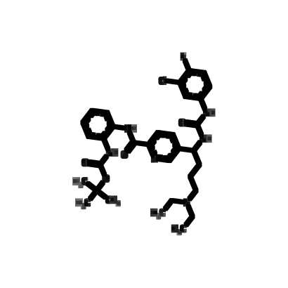 CCN(CC)CCCC(NC(=O)Nc1ccc(F)c(Cl)c1)c1ccc(C(=O)Nc2ccccc2NC(=O)OC(C)(C)C)nc1